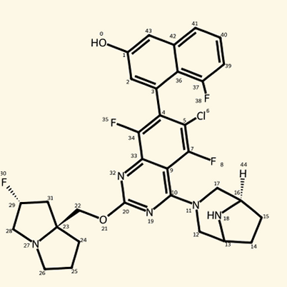 Oc1cc(-c2c(Cl)c(F)c3c(N4CC5CC[C@H](C4)N5)nc(OC[C@@]45CCCN4C[C@H](F)C5)nc3c2F)c2c(F)cccc2c1